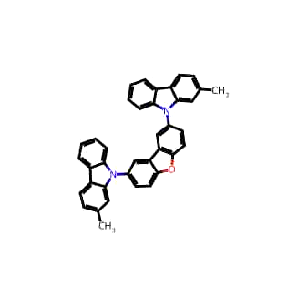 Cc1ccc2c3ccccc3n(-c3ccc4oc5ccc(-n6c7ccccc7c7ccc(C)cc76)cc5c4c3)c2c1